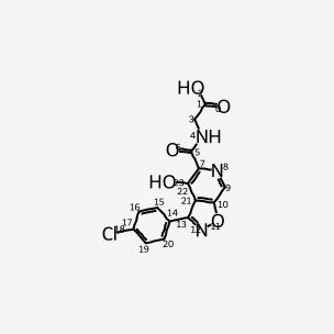 O=C(O)CNC(=O)c1ncc2onc(-c3ccc(Cl)cc3)c2c1O